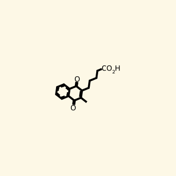 CC1=C(CCCCC(=O)O)C(=O)c2ccccc2C1=O